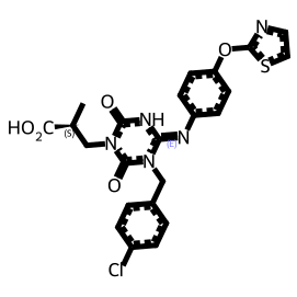 C[C@@H](Cn1c(=O)[nH]/c(=N\c2ccc(Oc3nccs3)cc2)n(Cc2ccc(Cl)cc2)c1=O)C(=O)O